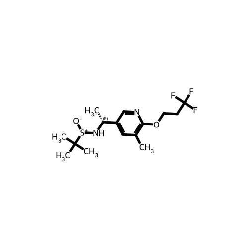 Cc1cc([C@@H](C)N[S+]([O-])C(C)(C)C)cnc1OCCC(F)(F)F